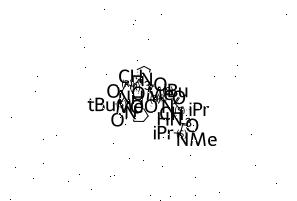 CC[C@H](C)[C@@H]([C@@H](CC(=O)N1CCC[C@H]1[C@H](OC)[C@@H](C)C(=O)N[C@H](C(=O)N1CCCCO1)C(C)(C)C)OC)N(C)C(=O)[C@@H](NC(=O)[C@@H](NC)C(C)C)C(C)C